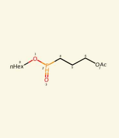 CCCCCCO[PH](=O)CCCOC(C)=O